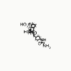 NCC(=O)NC1CCC(CC(=O)N[C@H]2Cc3cccc(C(=O)O)c3OB2O)CC1